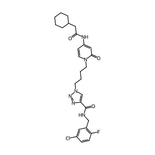 O=C(CC1CCCCC1)Nc1ccn(CCCCn2cc(C(=O)NCc3cc(Cl)ccc3F)nn2)c(=O)c1